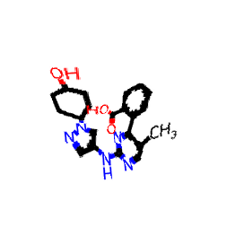 Cc1cnc(Nc2cnn(C3CCC(O)CC3)c2)nc1-c1ccccc1C(=O)O